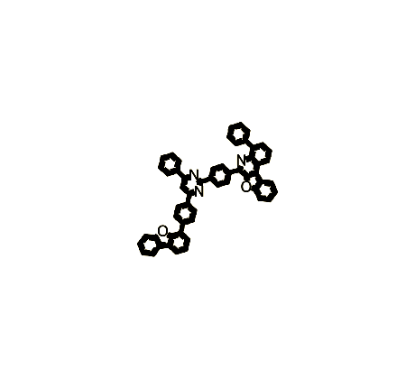 c1ccc(-c2cc(-c3ccc(-c4cccc5c4oc4ccccc45)cc3)nc(-c3ccc(-c4nc5c(-c6ccccc6)cccc5c5c4oc4ccccc45)cc3)n2)cc1